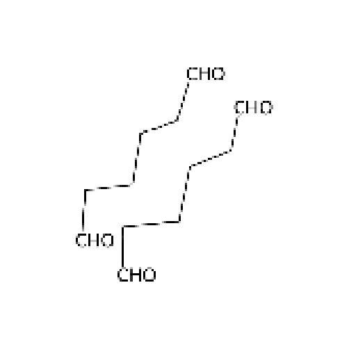 O=CCCCCC=O.O=CCCCCC=O